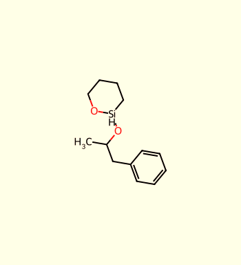 CC(Cc1ccccc1)O[SiH]1CCCCO1